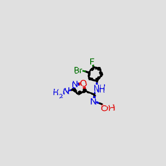 Nc1cc(/C(=N/CO)Nc2ccc(F)c(Br)c2)on1